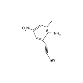 CCCC#Cc1cc([N+](=O)[O-])cc(C)c1N